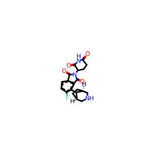 O=C1CCC(N2C(=O)c3ccc(F)c(C4[C@@H]5CC[C@H]4CNC5)c3C2=O)C(=O)N1